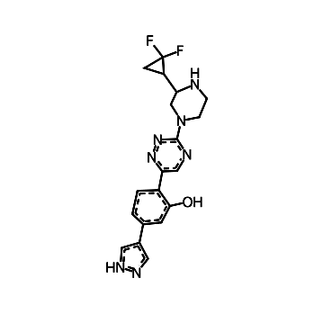 Oc1cc(-c2cn[nH]c2)ccc1-c1cnc(N2CCNC(C3CC3(F)F)C2)nn1